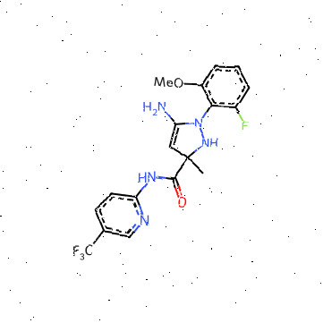 COc1cccc(F)c1N1NC(C)(C(=O)Nc2ccc(C(F)(F)F)cn2)C=C1N